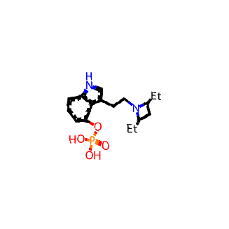 CCC1CC(CC)N1CCc1c[nH]c2cccc(OP(=O)(O)O)c12